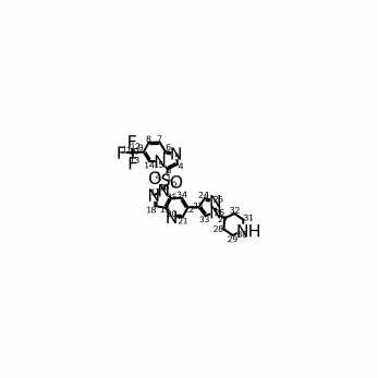 O=S(=O)(c1cnc2ccc(C(F)(F)F)cn12)n1ncc2ncc(-c3cnn(C4CCNCC4)c3)cc21